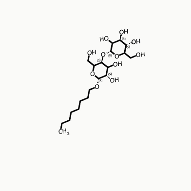 CCCCCCCCO[C@@H]1OC(CO)[C@@H](O[C@H]2OC(CO)[C@@H](O)[C@H](O)C2O)C(O)[C@@H]1O